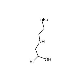 CCCCCCNCC(O)CC